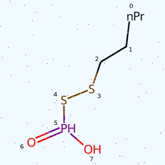 CCCCCSS[PH](=O)O